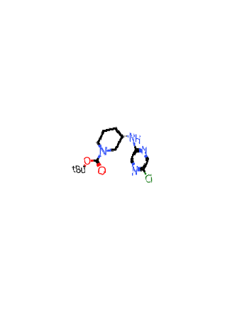 CC(C)(C)OC(=O)N1CCC[C@H](Nc2cnc(Cl)cn2)C1